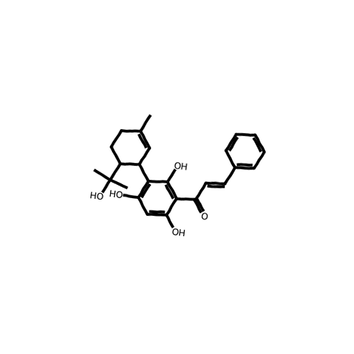 CC1=CC(c2c(O)cc(O)c(C(=O)/C=C/c3ccccc3)c2O)C(C(C)(C)O)CC1